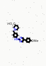 COc1ccc(-c2cnc(Nc3ccc(CN4CCCC(C(=O)O)C4)cc3)nc2)cc1